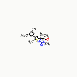 COc1cc(C#N)cc(-c2cc([C@@]3(C)NC(=N)N(C)C(=O)[C@H]3C)sc2C)c1